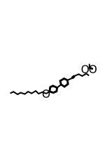 CCCCCCCCCCOc1ccc(-c2ccc(C#CCCC(C)OC(C)=O)cc2)cc1